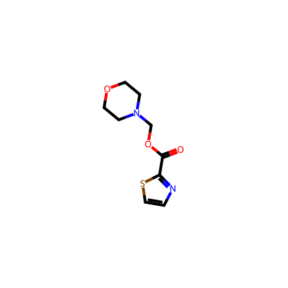 O=C(OCN1CCOCC1)c1nccs1